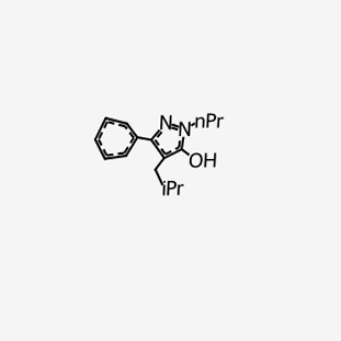 CCCn1nc(-c2ccccc2)c(CC(C)C)c1O